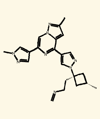 C=NCC[C@]1(n2cc(-c3nc(-c4cnn(C)c4)cn4nc(C)cc34)cn2)C[C@H](C)C1